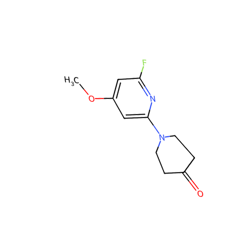 COc1cc(F)nc(N2CCC(=O)CC2)c1